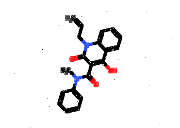 C=CCn1c(=O)c(C(=O)N(C)c2ccccc2)c(O)c2ccccc21